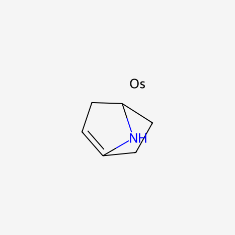 C1=C2CCC(C1)N2.[Os]